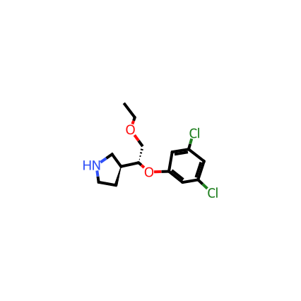 CCOC[C@H](Oc1cc(Cl)cc(Cl)c1)[C@H]1CCNC1